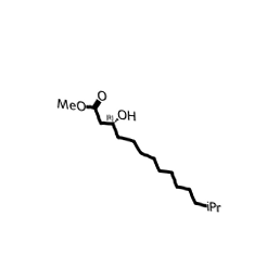 COC(=O)C[C@H](O)CCCCCCCCCC(C)C